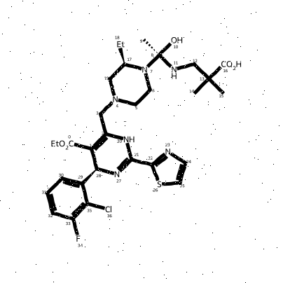 CCOC(=O)C1=C(CN2CCN([C@@](C)(O)NCC(C)(C)C(=O)O)[C@H](CC)C2)NC(c2nccs2)=N[C@H]1c1cccc(F)c1Cl